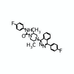 C[C@@H]1CN(C(=O)Nc2ccc(F)cc2)[C@@H](C)CN1c1nnc(-c2ccc(F)cc2)c2ccccc12